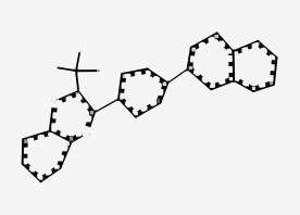 CC(C)(C)c1nc2ccccc2nc1-c1ccc(-c2ccc3ccccc3c2)cc1